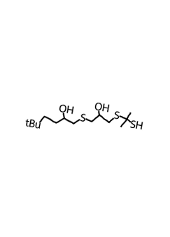 CC(C)(C)CCC(O)CSCC(O)CSC(C)(C)S